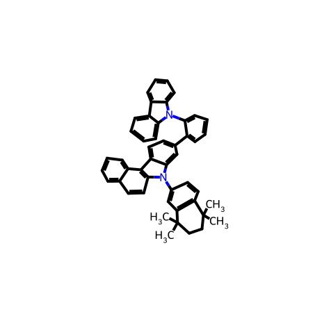 CC1(C)CCC(C)(C)c2cc(-n3c4cc(-c5ccccc5-n5c6ccccc6c6ccccc65)ccc4c4c5ccccc5ccc43)ccc21